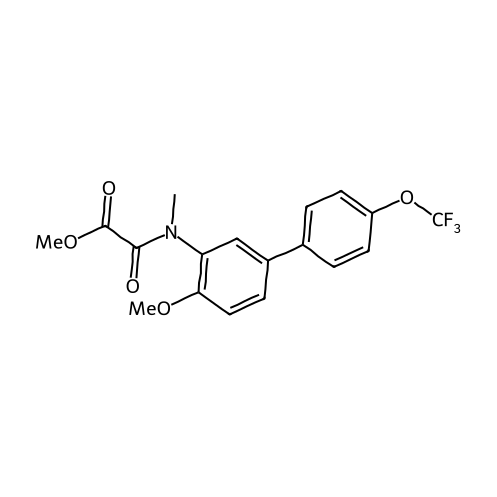 COC(=O)C(=O)N(C)c1cc(-c2ccc(OC(F)(F)F)cc2)ccc1OC